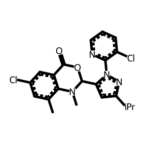 Cc1cc(Cl)cc2c1N(C)C(c1cc(C(C)C)nn1-c1ncccc1Cl)OC2=O